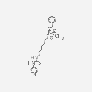 CS(=O)(=O)N(CCCCCCCCNC(=S)Nc1ccncc1)OCc1ccccc1